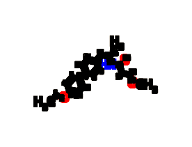 CCOc1ccc(-c2ccc(CC(C)NC(=O)CCOC)cc2)cc1